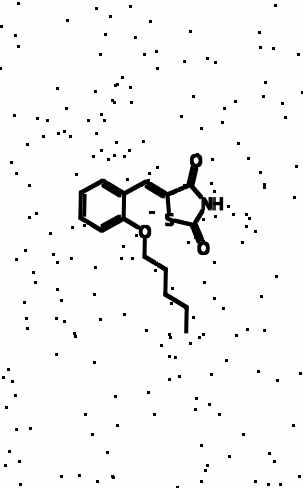 CCCCCOc1ccccc1C=C1SC(=O)NC1=O